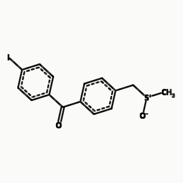 C[S+]([O-])Cc1ccc(C(=O)c2ccc(I)cc2)cc1